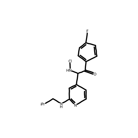 CC(C)CNc1cc(C(NCl)C(=O)c2ccc(F)cc2)ccn1